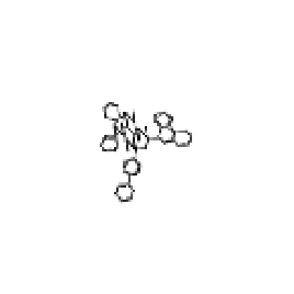 c1ccc(-c2ccc(-c3cc(-c4cc5ccccc5c5ccccc45)nc(-c4nc5ccccc5n4-c4ccccc4)n3)cc2)cc1